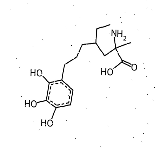 CCC(CCCc1ccc(O)c(O)c1O)CC(C)(N)C(=O)O